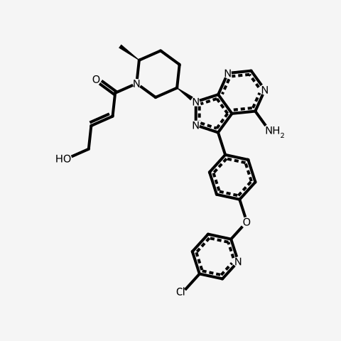 C[C@H]1CC[C@@H](n2nc(-c3ccc(Oc4ccc(Cl)cn4)cc3)c3c(N)ncnc32)CN1C(=O)/C=C/CO